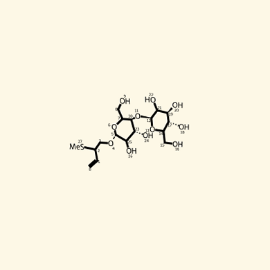 C=CC(CO[C@@H]1OC(CO)[C@@H](O[C@@H]2OC(CO)[C@@H](O)[C@H](O)C2O)[C@H](O)C1O)SC